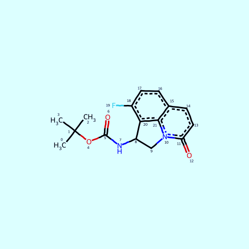 CC(C)(C)OC(=O)NC1Cn2c(=O)ccc3ccc(F)c1c32